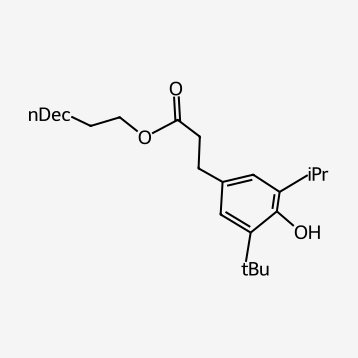 CCCCCCCCCCCCOC(=O)CCc1cc(C(C)C)c(O)c(C(C)(C)C)c1